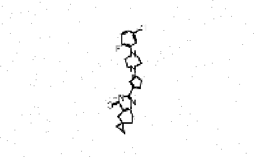 O=c1[nH]c(C2=C[C@H](N3CCN(c4cc(Cl)ccc4F)CC3)CC2)nc2c1CC1(CC2)CC1